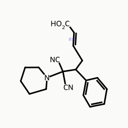 N#CC(C#N)(C(C/C=C/C(=O)O)c1ccccc1)N1CCCCC1